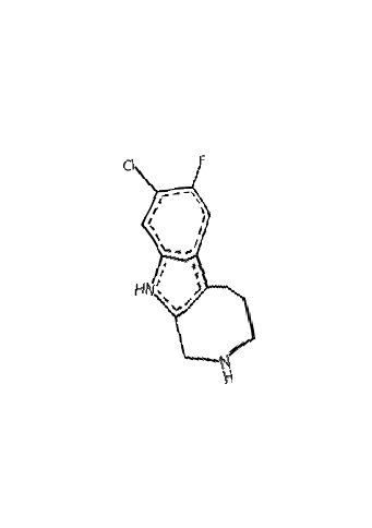 Fc1cc2c3c([nH]c2cc1Cl)CNCC3